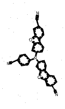 N#Cc1ccc(N(c2ccc3c(c2)oc2cc(C#N)ccc23)c2ccc3c(c2)oc2cc(C#N)ccc23)cc1